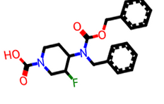 O=C(O)N1CCC(N(Cc2ccccc2)C(=O)OCc2ccccc2)C(F)C1